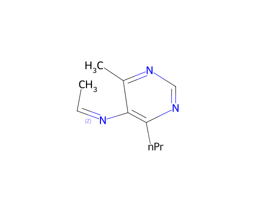 C/C=N\c1c(C)ncnc1CCC